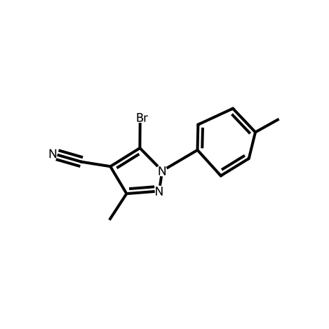 Cc1ccc(-n2nc(C)c(C#N)c2Br)cc1